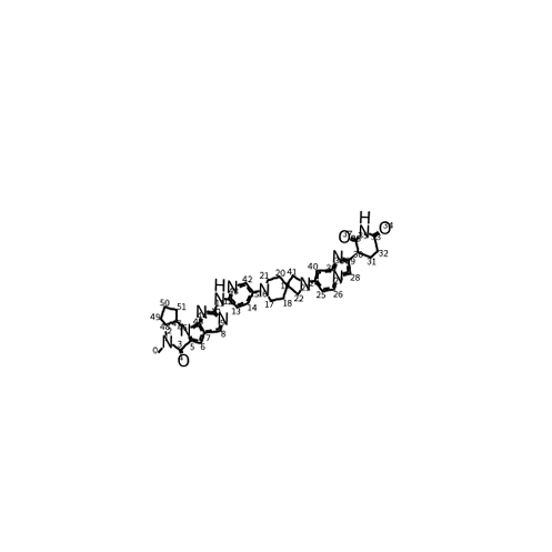 CN(C)C(=O)c1cc2cnc(Nc3ccc(N4CCC5(CC4)CN(c4ccn6cc([C@@H]7CCC(=O)NC7=O)nc6c4)C5)cn3)nc2n1C1CCCC1